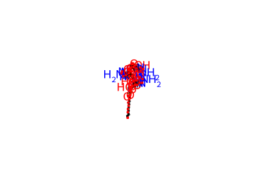 CCCCCCCCCCCCCC(=O)OCCSP(=O)(O)OC[C@H]1O[C@@H](n2cnc3c(N)ncnc32)[C@@H](OP(=O)(O)OC[C@H]2O[C@@H](n3cnc4c(N)ncnc43)[C@@H](OP(=O)(O)OC[C@]34CCCOC3[C@H](O)[C@H](n3cnc5c(N)ncnc53)O4)C2O)C1OC